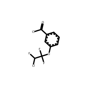 O=C(Cl)c1cccc(OC(F)(F)C(F)Cl)c1